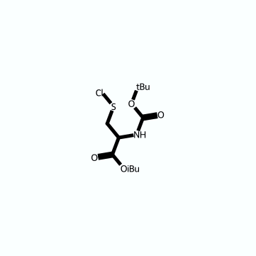 CC(C)COC(=O)C(CSCl)NC(=O)OC(C)(C)C